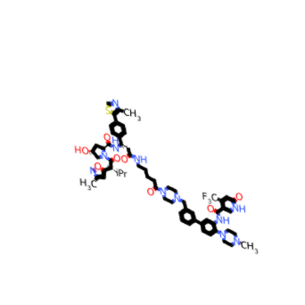 Cc1cc([C@H](C(=O)N2C[C@H](O)C[C@H]2C(=O)N[C@@H](CC(=O)NCCCCC(=O)N2CCN(Cc3cccc(-c4ccc(N5CCN(C)CC5)c(NC(=O)c5c[nH]c(=O)cc5C(F)(F)F)c4)c3)CC2)c2ccc(-c3scnc3C)cc2)C(C)C)on1